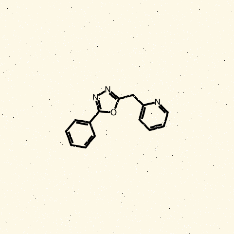 c1ccc(-c2nnc(Cc3ccccn3)o2)cc1